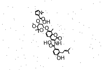 CO[C@@H]1[C@@H](OC(=O)c2cccn2C)[C@@H](O)[C@H](Oc2ccc3c(O)c(NC(=O)c4ccc(O)c(CC=C(C)C)c4)c(=O)oc3c2C)OC1(C)C